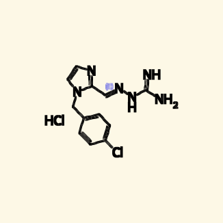 Cl.N=C(N)N/N=C/c1nccn1Cc1ccc(Cl)cc1